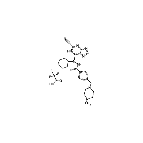 CN1CCN(Cc2ccc(C(=O)NN(c3[nH]c(C#N)nc4ncnc3-4)C3CCCCC3)cc2)CC1.O=C(O)C(F)(F)F